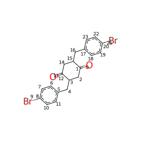 O=C1CC(Cc2ccc(Br)cc2)C(=O)CC1Cc1ccc(Br)cc1